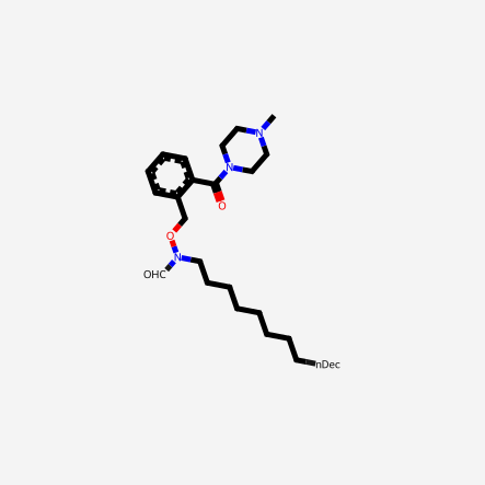 CCCCCCCCCCCCCCCCCCN(C=O)OCc1ccccc1C(=O)N1CCN(C)CC1